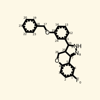 Fc1ccc2c(c1)C1=NNC(c3cccc(OCc4ccccc4)c3)C1CO2